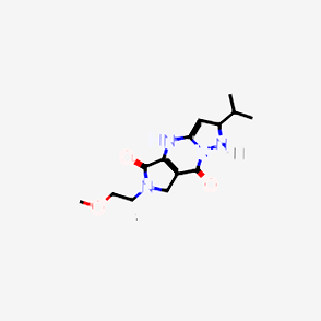 [2H]N1C(C(C)C)C=C2NC3=C(CN([C@H](C)COC)C3=O)C(=O)N21